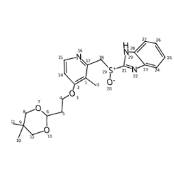 Cc1c(OCCC2OCC(C)(C)CO2)ccnc1C[S+]([O-])c1nc2ccccc2[nH]1